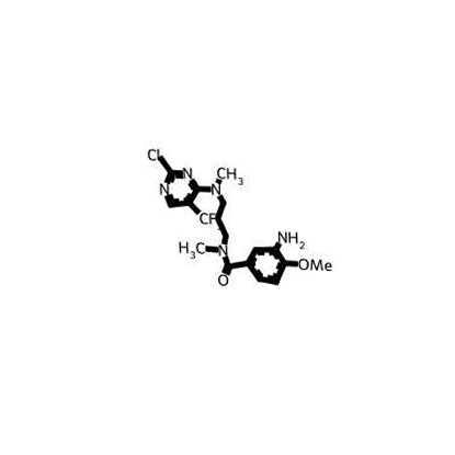 COc1ccc(C(=O)N(C)CCCN(C)c2nc(Cl)ncc2C(F)(F)F)cc1N